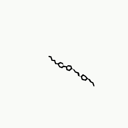 CCC=C[C@H]1CC[C@H](C=CCC[C@H]2CC[C@H]([C@H]3CC[C@H](CCCCC)CC3)CC2)CC1